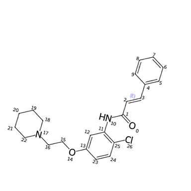 O=C(/C=C/c1ccccc1)Nc1cc(OCCN2CCCCC2)ccc1Cl